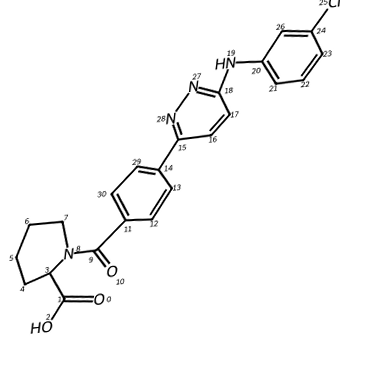 O=C(O)C1CCCCN1C(=O)c1ccc(-c2ccc(Nc3cccc(Cl)c3)nn2)cc1